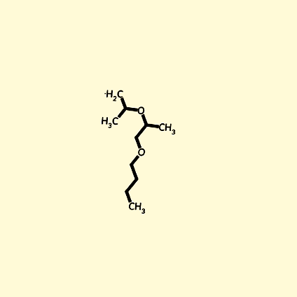 [CH2][C](C)OC(C)COCCCC